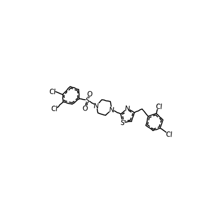 O=S(=O)(c1ccc(Cl)c(Cl)c1)N1CCN(c2nc(Cc3ccc(Cl)cc3Cl)cs2)CC1